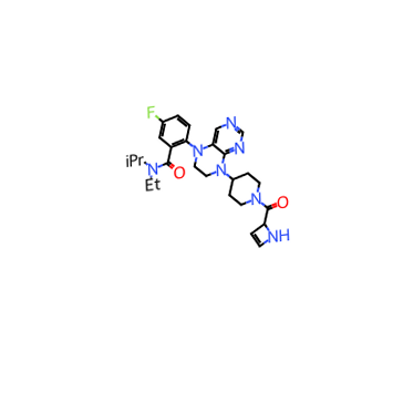 CCN(C(=O)c1cc(F)ccc1N1CCN(C2CCN(C(=O)C3C=CN3)CC2)c2ncncc21)C(C)C